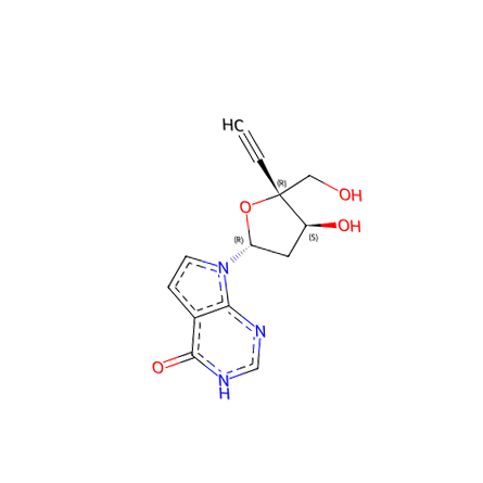 C#C[C@]1(CO)O[C@@H](n2ccc3c(=O)[nH]cnc32)C[C@@H]1O